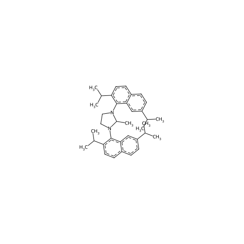 CC(C)c1ccc2ccc(C(C)C)c(N3CCN(c4c(C(C)C)ccc5ccc(C(C)C)cc45)C3C)c2c1